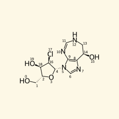 OC[C@H]1O[C@@H](n2cnc3c2N=CNC[C@H]3O)[C@H](Cl)[C@@H]1O